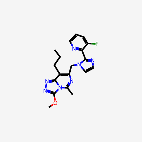 CCCc1c(Cn2ccnc2-c2ncccc2F)nc(C)n2c(OC)nnc12